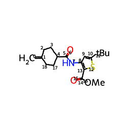 C=C1CCC(C(=O)Nc2cc(C(C)(C)C)sc2C(=O)OC)CC1